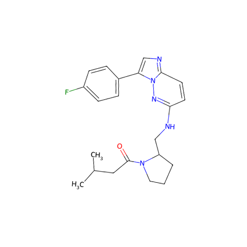 CC(C)CC(=O)N1CCCC1CNc1ccc2ncc(-c3ccc(F)cc3)n2n1